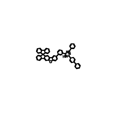 C1=CC(C2NC(c3cccc(-c4ccc5oc6cc7c(cc6c5c4)C4(c5ccccc5-c5ccccc54)c4ccccc4-7)c3)N3C(c4ccccc4)N23)CC=C1c1ccccc1